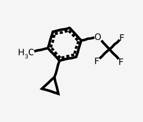 Cc1ccc(OC(F)(F)F)cc1C1CC1